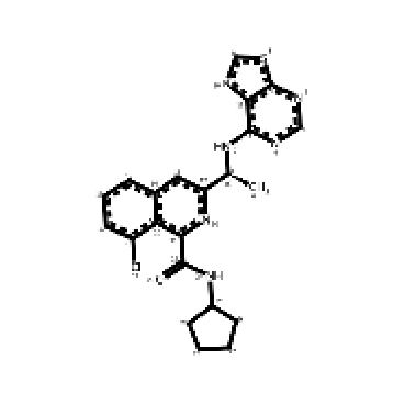 C[C@H](Nc1ncnc2scnc12)c1cc2cccc(Cl)c2c(C(=O)NC2CCCC2)n1